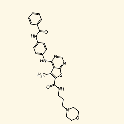 Cc1c(C(=O)NCCCN2CCOCC2)sc2ncnc(Nc3ccc(NC(=O)c4ccccc4)cc3)c12